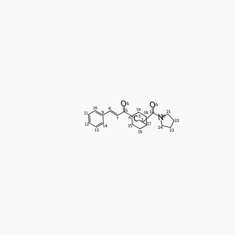 O=C(C1CC2(C(=O)/C=C/c3ccccc3)CCC1CC2)N1CCCC1